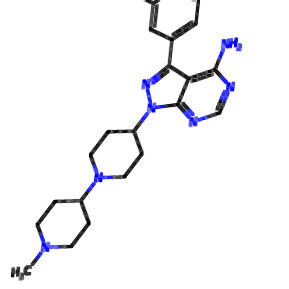 COc1[c]ccc(-c2nn(C3CCN(C4CCN(C)CC4)CC3)c3ncnc(N)c23)c1